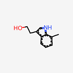 Cc1cccc2c(CCO)c[nH]c12